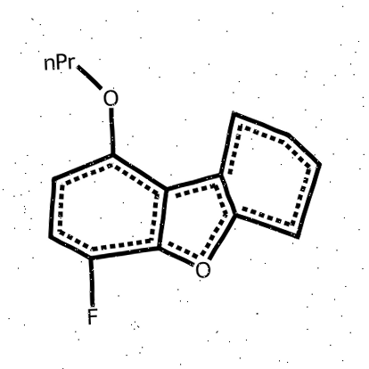 CCCOc1ccc(F)c2oc3ccccc3c12